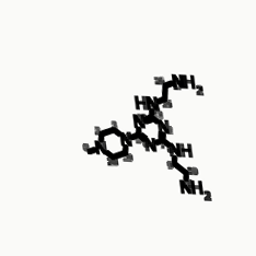 CN1CCN(c2nc(NCCN)nc(NCCN)n2)CC1